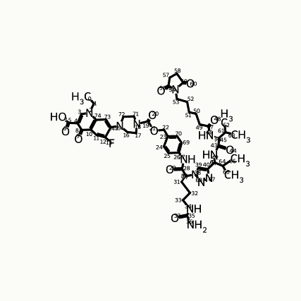 CCn1cc(C(=O)O)c(=O)c2cc(F)c(N3CCN(C(=O)OCc4ccc(NC(=O)[C@H](CCCNC(N)=O)n5cc([C@@H](NC(=O)[C@H](NC(=O)CCCCCN6C(=O)CCC6=O)C(C)C)C(C)C)nn5)cc4)CC3)cc21